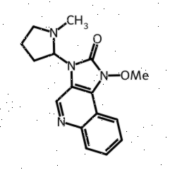 COn1c(=O)n(C2CCCN2C)c2cnc3ccccc3c21